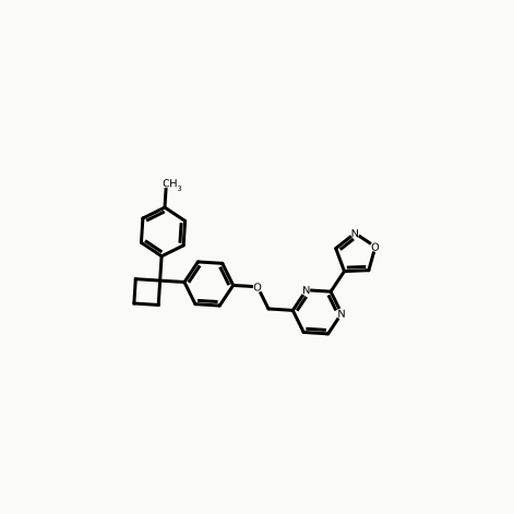 Cc1ccc(C2(c3ccc(OCc4ccnc(-c5cnoc5)n4)cc3)CCC2)cc1